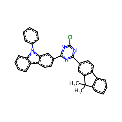 CC1(C)c2ccccc2-c2ccc(-c3nc(Cl)nc(-c4ccc5c6ccccc6n(-c6ccccc6)c5c4)n3)cc21